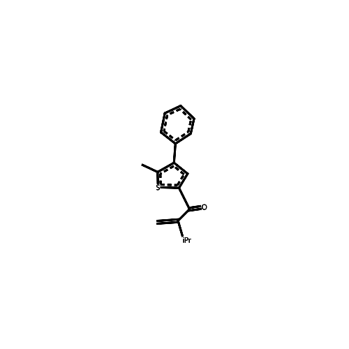 C=C(C(=O)c1cc(-c2ccccc2)c(C)s1)C(C)C